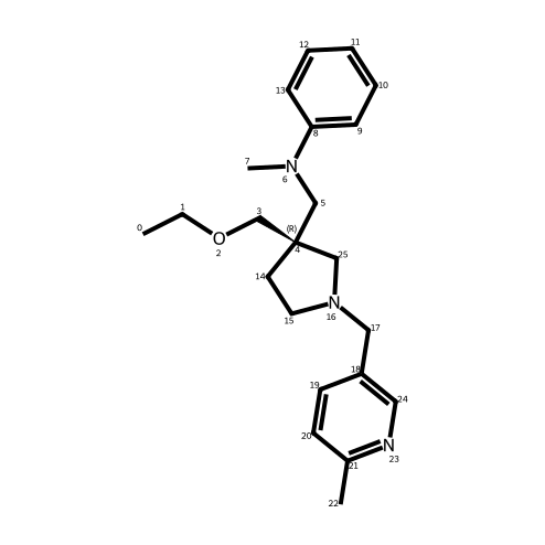 CCOC[C@]1(CN(C)c2ccccc2)CCN(Cc2ccc(C)nc2)C1